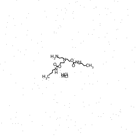 CCCCNC(=O)OCCN(CCN)CCOC(=O)NCCCC.Cl.Cl